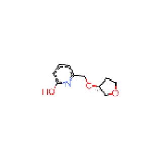 Oc1cccc(CO[C@H]2CCOC2)n1